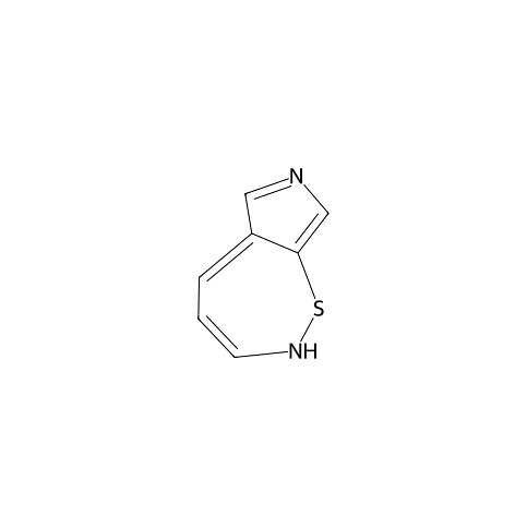 C1=CNSC2=CN=CC2=C1